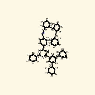 C1=C\c2ccc(-c3nc(-c4ccccc4)nc(-c4cc(-c5ccccc5)cc(-c5ccccc5)c4)n3)cc2-c2ccccc2Sc2ccccc2-c2ccccc2/1